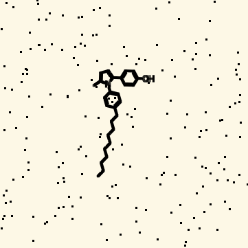 CCCCCCCCCCc1ccc(-n2c(C)ccc2-c2ccc(O)cc2)cc1